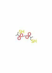 CC(CS)C(=O)OCCOC(=O)C(C)CS